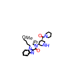 COCCCCn1c(C(=O)N(CC(C)C)[C@@H]2CNC[C@H](C(=O)N3CCCCC3)C2)nc2ccccc21